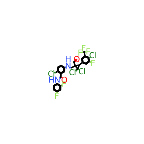 O=CC1(CNc2ccc(Cl)c(C(=O)Nc3ccc(F)cc3F)c2)C(c2cc(F)c(Cl)c(C(F)(F)F)c2)C1(Cl)Cl